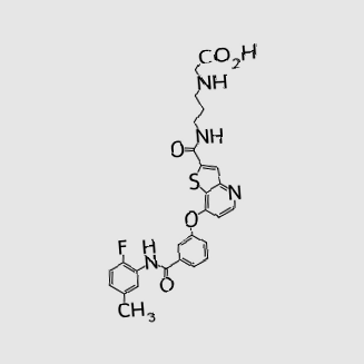 Cc1ccc(F)c(NC(=O)c2cccc(Oc3ccnc4cc(C(=O)NCCCNCC(=O)O)sc34)c2)c1